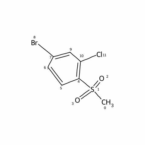 CS(=O)(=O)c1c[c]c(Br)cc1Cl